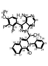 CC(C)Oc1ccc(-c2nn([C@@H](C)c3nc4ccccc4c(=O)n3-c3ccccc3)c3ncnc(N)c23)c(F)c1F